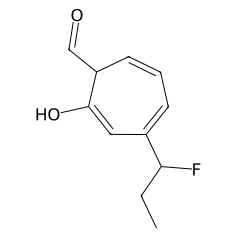 CCC(F)C1=CC=CC(C=O)C(O)=C1